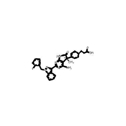 C[C@]1(c2ccc(CCC(=O)O)cc2)C(=O)Nc2nc(-c3nn(Cc4ccccc4F)c4ccccc34)nc(N)c21